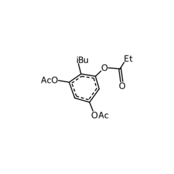 CCC(=O)Oc1cc(OC(C)=O)cc(OC(C)=O)c1C(C)CC